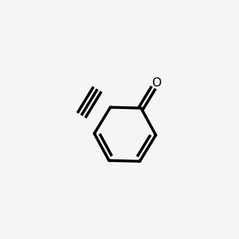 C#C.O=C1C=CC=CC1